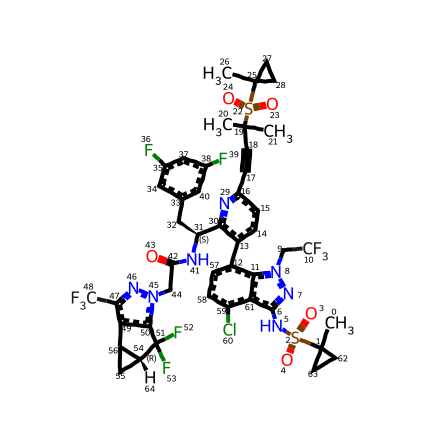 CC1(S(=O)(=O)Nc2nn(CC(F)(F)F)c3c(-c4ccc(C#CC(C)(C)S(=O)(=O)C5(C)CC5)nc4[C@H](Cc4cc(F)cc(F)c4)NC(=O)Cn4nc(C(F)(F)F)c5c4C(F)(F)[C@@H]4CC54)ccc(Cl)c23)CC1